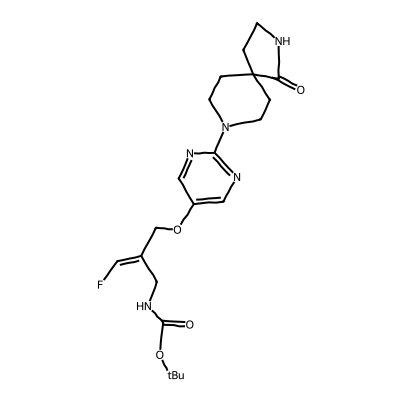 CC(C)(C)OC(=O)NC/C(=C\F)COc1cnc(N2CCC3(CCNC3=O)CC2)nc1